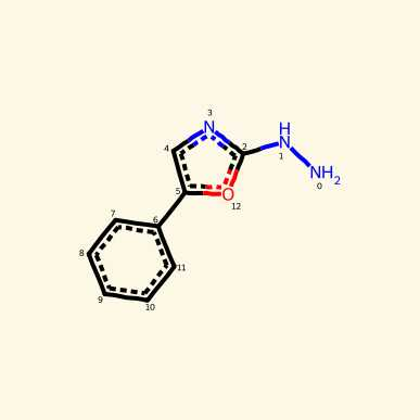 NNc1ncc(-c2ccccc2)o1